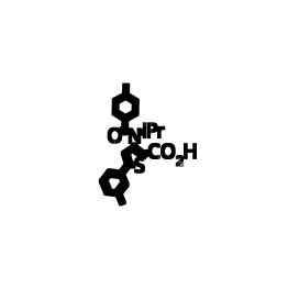 Cc1cccc(-c2cc(N(C(=O)C3CCC(C)CC3)C(C)C)c(C(=O)O)s2)c1